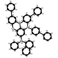 c1ccc(-c2ccc(N3c4cc(-c5ccccc5)ccc4B4c5cc(-c6ccccc6)ccc5Oc5cc(N(c6ccccc6)c6cccc7ccccc67)cc3c54)cc2)cc1